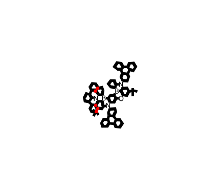 CC(C)(C)c1cc2c3c(c1)N(c1ccc4c5ccccc5c5ccccc5c4c1)c1ccccc1B3c1cc3c(cc1O2)N(c1ccc2c4ccccc4c4ccccc4c2c1)c1cc(C(C)(C)C)cc2c1B3c1ccccc1N2c1c(-c2ccccc2)cccc1-c1ccccc1